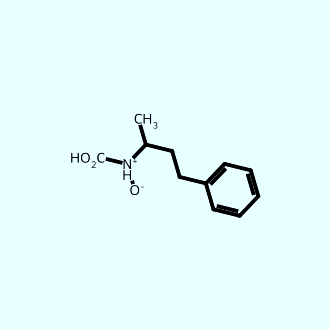 CC(CCc1ccccc1)[NH+]([O-])C(=O)O